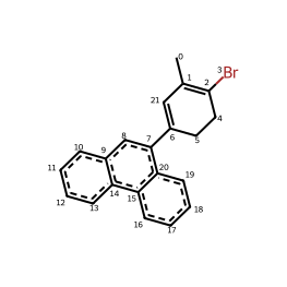 CC1=C(Br)CCC(c2cc3ccccc3c3ccccc23)=C1